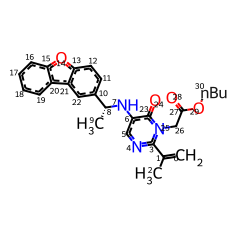 C=C(C)c1ncc(N[C@H](C)c2ccc3oc4ccccc4c3c2)c(=O)n1CC(=O)OCCCC